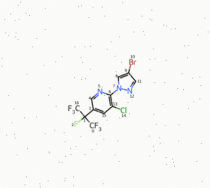 FC(F)(F)C(F)(c1cnc(-n2cc(Br)cn2)c(Cl)c1)C(F)(F)F